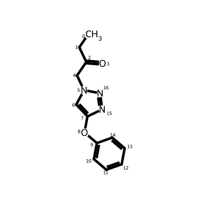 CCC(=O)Cn1cc(Oc2ccccc2)nn1